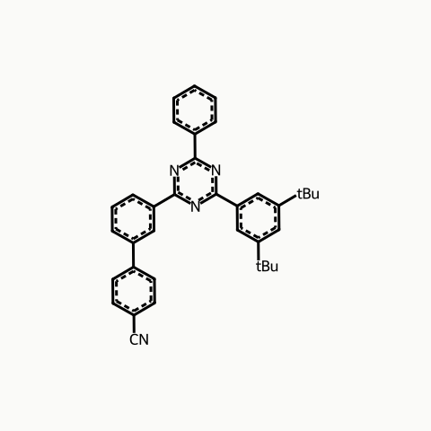 CC(C)(C)c1cc(-c2nc(-c3ccccc3)nc(-c3cccc(-c4ccc(C#N)cc4)c3)n2)cc(C(C)(C)C)c1